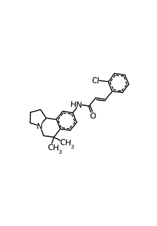 CC1(C)CN2CCCC2c2cc(NC(=O)C=Cc3ccccc3Cl)ccc21